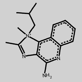 CC1=Nc2c(N)nc3ccccc3c2[N+]1(C)CC(C)C